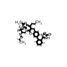 CCCc1c(Cc2ccc(-c3ccccc3-c3noc(=O)[nH]3)cc2)c(=O)n(C/C(=N\OCC)C(F)(F)F)c2nc(C)nn12